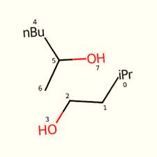 CC(C)CCO.CCCCC(C)O